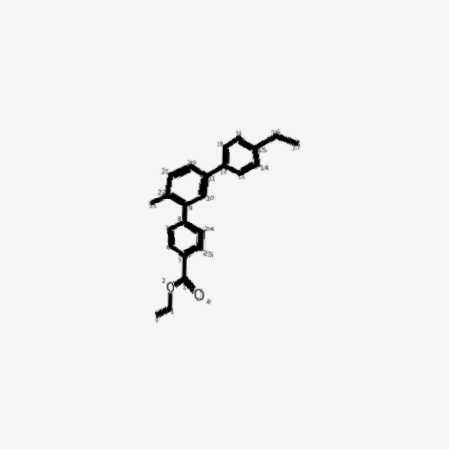 CCOC(=O)c1ccc(-c2cc(-c3ccc(CC)cc3)ccc2C)cc1